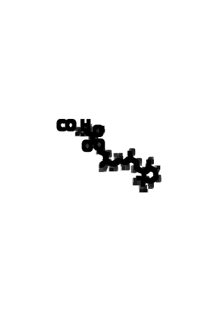 CC(C=CC1=C(C)CCCC1(C)C)=CC=CC(C)=CCOC(=O)C(=O)CC(=O)O